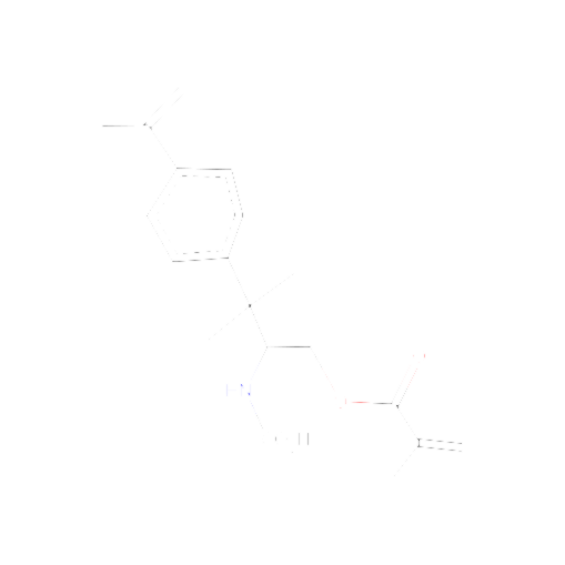 C=C(C)C(=O)OCC(NC(=O)O)C(C)(C)c1ccc(C(=C)C)cc1